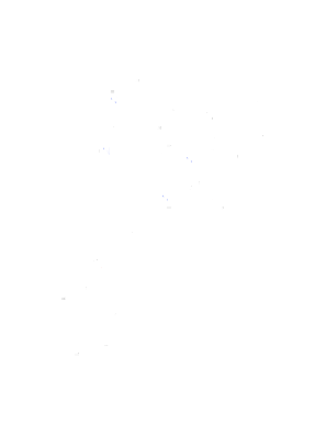 C[C@@H]1CCCC[C@@H]1n1c(=O)n(CCCOc2ccccc2)c2cnc3[nH]ccc3c21